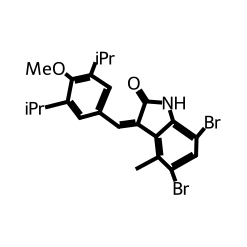 COc1c(C(C)C)cc(C=C2C(=O)Nc3c(Br)cc(Br)c(C)c32)cc1C(C)C